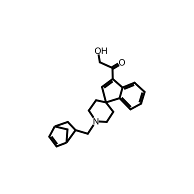 O=C(CO)C1=CC2(CCN(CC3CC4C=CC3C4)CC2)c2ccccc21